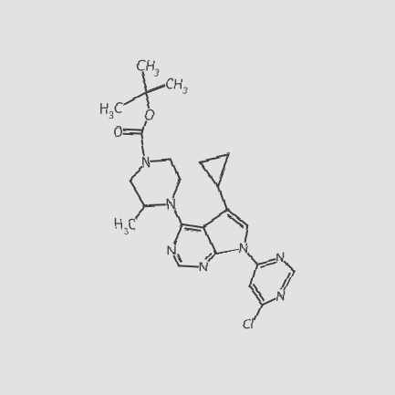 CC1CN(C(=O)OC(C)(C)C)CCN1c1ncnc2c1c(C1CC1)cn2-c1cc(Cl)ncn1